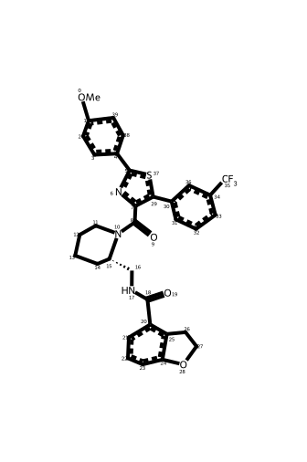 COc1ccc(-c2nc(C(=O)N3CCCC[C@H]3CNC(=O)c3cccc4c3CCO4)c(-c3cccc(C(F)(F)F)c3)s2)cc1